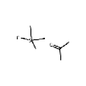 CC(C)=O.C[Si](C)(C)Cl